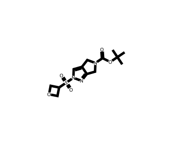 CC(C)(C)OC(=O)N1Cc2cn(S(=O)(=O)C3COC3)nc2C1